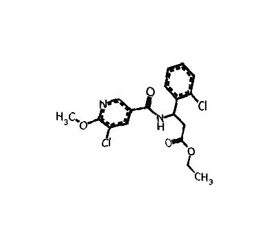 CCOC(=O)CC(NC(=O)c1cnc(OC)c(Cl)c1)c1ccccc1Cl